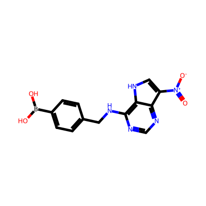 O=[N+]([O-])c1c[nH]c2c(NCc3ccc(B(O)O)cc3)ncnc12